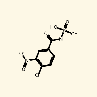 O=C(NP(=O)(O)O)c1ccc(Cl)c([N+](=O)[O-])c1